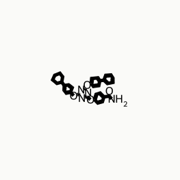 NC(=O)c1ccc(Oc2nc(Oc3ccc(-c4ccccc4)cc3)nc(Oc3ccc(C4CCCCC4)cc3)n2)cc1